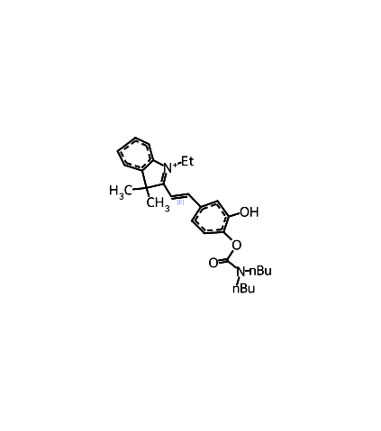 CCCCN(CCCC)C(=O)Oc1ccc(/C=C/C2=[N+](CC)c3ccccc3C2(C)C)cc1O